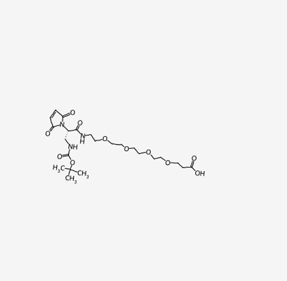 CC(C)(C)OC(=O)NC[C@@H](C(=O)NCCOCCOCCOCCOCCC(=O)O)N1C(=O)C=CC1=O